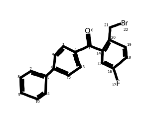 O=C(c1ccc(-c2ccccc2)cc1)c1cc(F)ccc1CBr